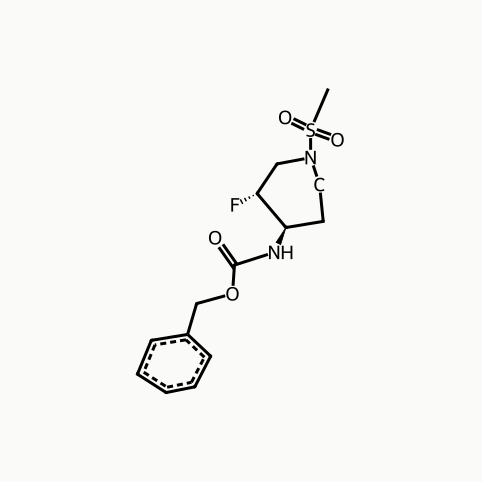 CS(=O)(=O)N1CC[C@@H](NC(=O)OCc2ccccc2)[C@H](F)C1